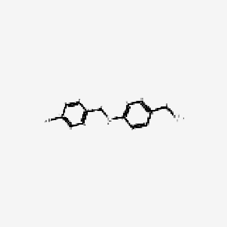 CCc1ccc(OCc2ccc(F)cc2)cc1